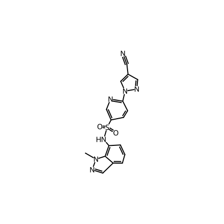 Cn1ncc2cccc(NS(=O)(=O)c3ccc(-n4cc(C#N)cn4)nc3)c21